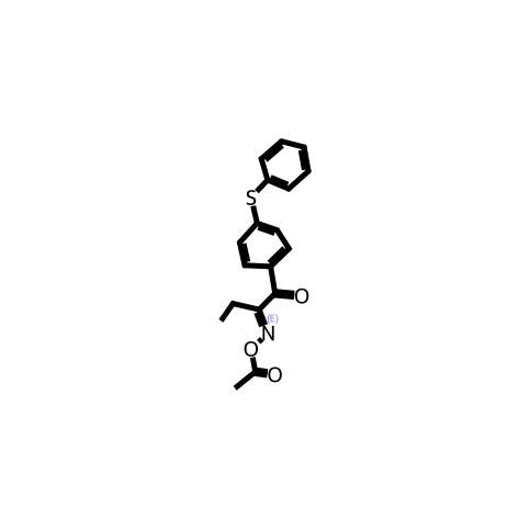 CC/C(=N\OC(C)=O)C(=O)c1ccc(Sc2ccccc2)cc1